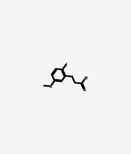 COc1ccc(I)c(CCC(=O)Cl)c1